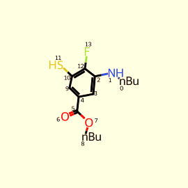 CCCCNc1cc(C(=O)OCCCC)cc(S)c1F